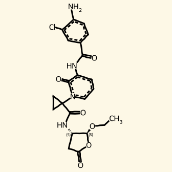 CCO[C@H]1OC(=O)C[C@@H]1NC(=O)C1(n2cccc(NC(=O)c3ccc(N)c(Cl)c3)c2=O)CC1